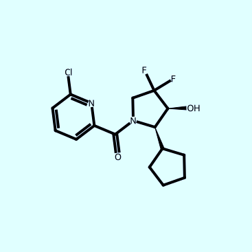 O=C(c1cccc(Cl)n1)N1CC(F)(F)[C@@H](O)[C@H]1C1CCCC1